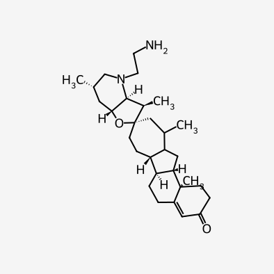 CC1C[C@]2(CC[C@@H]3C1C[C@H]1[C@H]3CCC3=CC(=O)CC[C@@]31C)O[C@@H]1C[C@H](C)CN(CCN)[C@H]1[C@H]2C